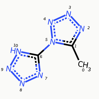 Cc1nnnn1-c1nnn[nH]1